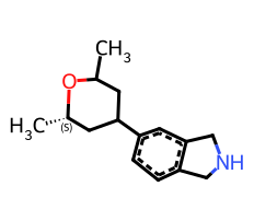 CC1CC(c2ccc3c(c2)CNC3)C[C@H](C)O1